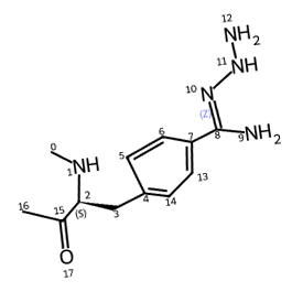 CN[C@@H](Cc1ccc(/C(N)=N/NN)cc1)C(C)=O